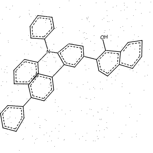 Oc1c(-c2ccc(N(c3ccccc3)c3ccccc3)c(-c3ccc(-c4ccccc4)cc3)c2)ccc2ccccc12